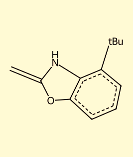 C=C1Nc2c(cccc2C(C)(C)C)O1